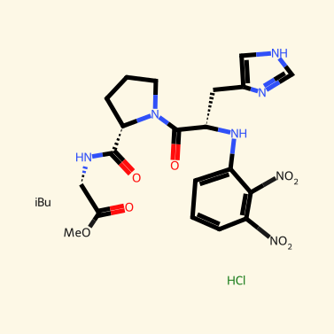 CC[C@H](C)[C@H](NC(=O)[C@@H]1CCCN1C(=O)[C@H](Cc1c[nH]cn1)Nc1cccc([N+](=O)[O-])c1[N+](=O)[O-])C(=O)OC.Cl